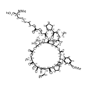 CC[C@H](C)[C@H]1NC(=O)[C@@H](NC(=O)[C@@H](CC(C)C)N(C)C(=O)[C@@H]2CCCN2C(=O)[C@H](C)OC(=O)OCCSSC[C@H](NC)C(=O)O)[C@@H](C)OC(=O)[C@H](Cc2ccc(OC)cc2)N(C)C(=O)[C@@H]2CCCN2C(=O)[C@H](CC(C)C)NC(=O)[C@@H](C)C(=O)[C@H](C(C)C)OC(=O)C[C@@H]1O